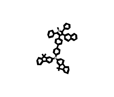 Cn1c(-c2ccccc2)c(-c2ccc(-c3ccc(N(c4ccc5c(c4)C(C)(C)c4ccccc4-5)c4ccc5c(c4)C(C)(C)c4ccccc4-5)cc3)cc2)c(-c2ccc3ccccc3c2)c1-c1ccccc1